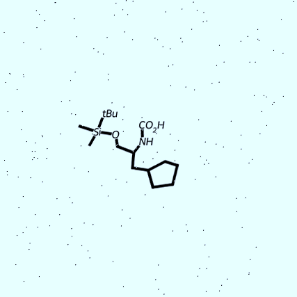 CC(C)(C)[Si](C)(C)OCC(CC1CCCC1)NC(=O)O